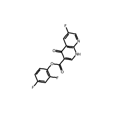 O=C(Oc1ccc(F)cc1F)c1c[nH]c2ncc(F)cc2c1=O